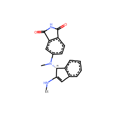 CCNC1=Cc2ccccc2[C@H]1N(C)c1ccc2c(c1)C(=O)NC2=O